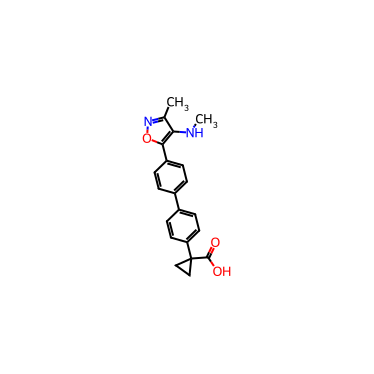 CNc1c(C)noc1-c1ccc(-c2ccc(C3(C(=O)O)CC3)cc2)cc1